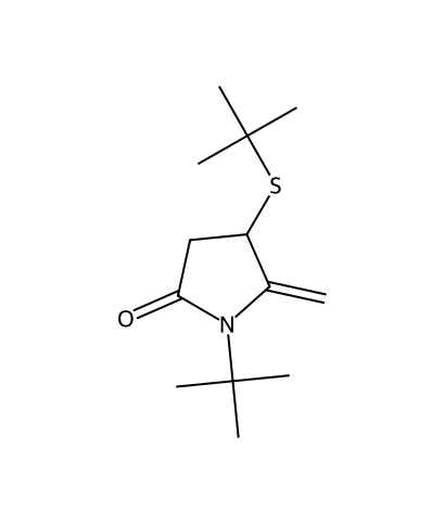 C=C1C(SC(C)(C)C)CC(=O)N1C(C)(C)C